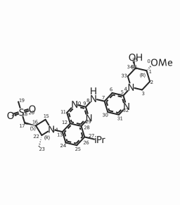 CO[C@@H]1CCN(c2cc(Nc3ncc4c(N5C[C@H](CS(C)(=O)=O)[C@H]5C)ccc(C(C)C)c4n3)ccn2)C[C@H]1O